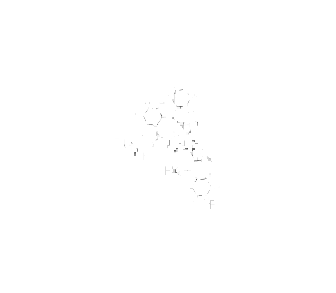 CCN(CC)CCN1C(=O)C(N)(C(=O)[C@H](C)NC(=O)C(O)c2ccc(F)cc2)N=C(c2ccccn2)c2ccccc21